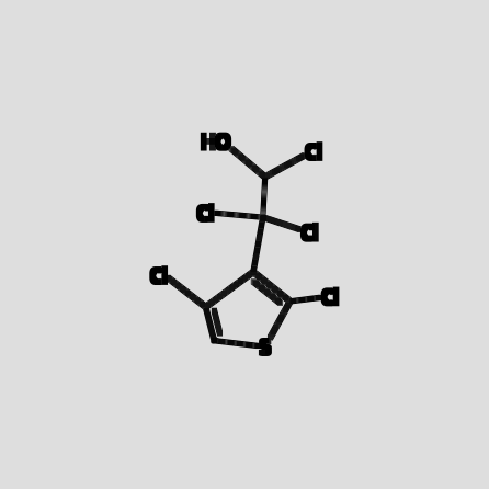 OC(Cl)C(Cl)(Cl)c1c(Cl)csc1Cl